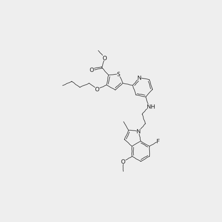 CCCCOc1cc(-c2cc(NCCn3c(C)cc4c(OC)ccc(F)c43)ccn2)sc1C(=O)OC